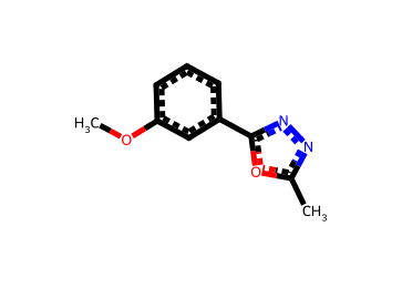 COc1cccc(-c2nnc(C)o2)c1